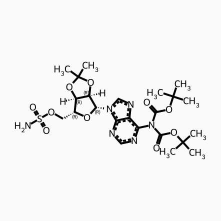 CC(C)(C)OC(=O)N(C(=O)OC(C)(C)C)c1ncnc2c1ncn2[C@@H]1O[C@H](COS(N)(=O)=O)[C@H]2OC(C)(C)O[C@H]21